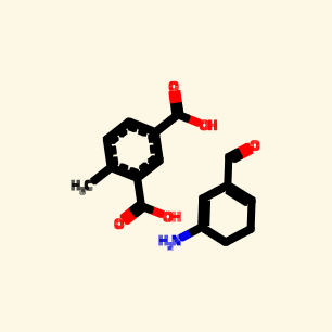 Cc1ccc(C(=O)O)cc1C(=O)O.NC1=CC(C=O)=CCC1